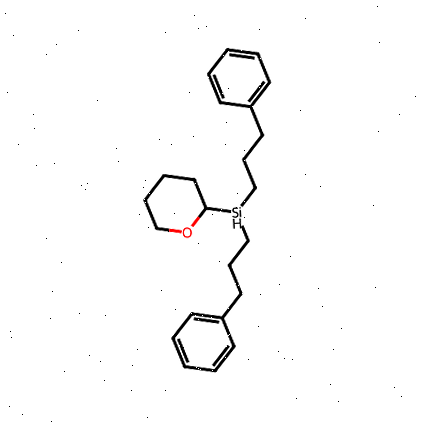 c1ccc(CCC[SiH](CCCc2ccccc2)C2CCCCO2)cc1